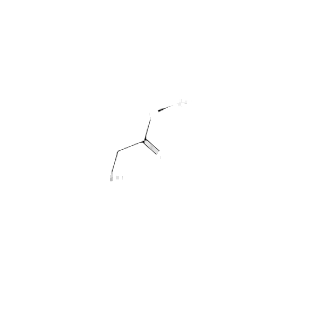 CCC(C)CC(=O)O[C@H](C)CC